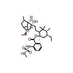 CBS(=O)(=O)Nc1ccccc1C(=O)O[C@]1(C)C[C@H](CC)[C@H](C)C(C)(C)C1CC[C@@]1(O)C[C@H](OC)C2CC(C)[C@]1(O)[C@H]2OC